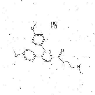 COc1ccc(-c2ccc(C(=O)NCCN(C)C)nc2-c2ccc(OC)cc2)cc1.Cl.Cl